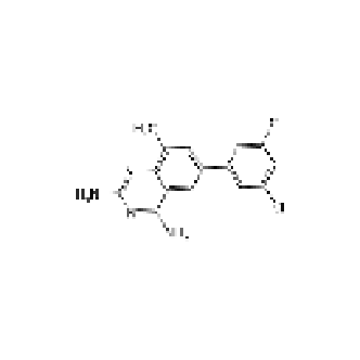 Cc1cc(-c2cc(Cl)cc(Cl)c2)cc2c(N)nc(N)nc12